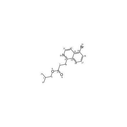 CC(C)COC(=O)CCc1nccc2c(Br)cccc12